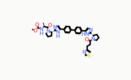 COC(=O)N[C@@H](C)C(=O)N1CCC[C@H]1c1ncc(-c2ccc(-c3ccc(-c4cnc([C@@H]5CCCN5C(=O)CCc5cscn5)[nH]4)cc3)cc2)[nH]1